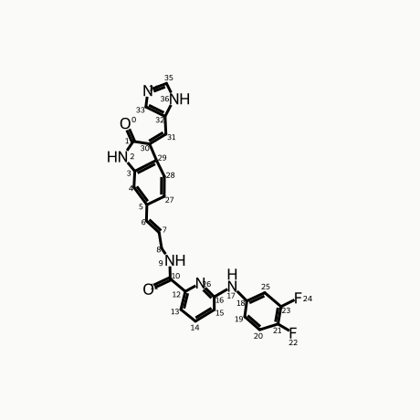 O=C1Nc2cc(/C=C/CNC(=O)c3cccc(Nc4ccc(F)c(F)c4)n3)ccc2C1=Cc1cnc[nH]1